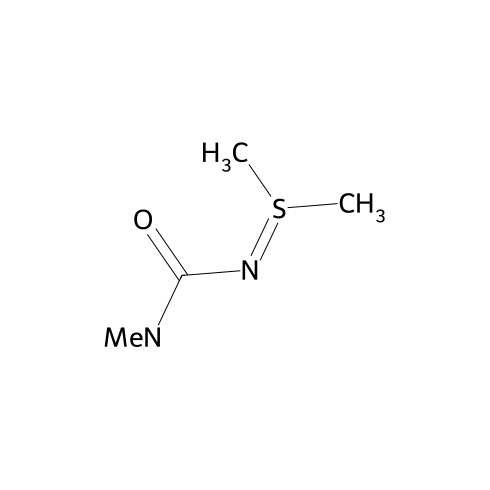 CNC(=O)N=S(C)C